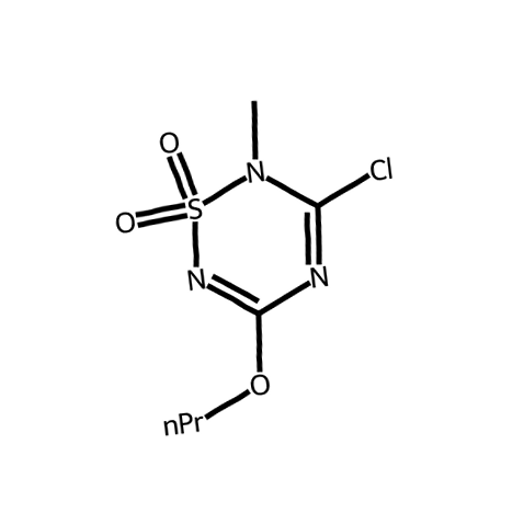 CCCOC1=NS(=O)(=O)N(C)C(Cl)=N1